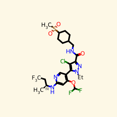 CCn1nc(C(=O)NCC2CCC(S(C)(=O)=O)CC2)c(Cl)c1-c1cnc(N[C@@H](C)CC(F)(F)F)cc1OC(F)F